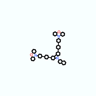 c1ccc2c(c1)Oc1ccccc1N2c1ccc(-c2ccc(-c3ccc4c(c3)c3cc(-c5ccc(-c6ccc(N7c8ccccc8Oc8ccccc87)cc6)cc5)ccc3n4-c3ccc4ccccc4c3)cc2)cc1